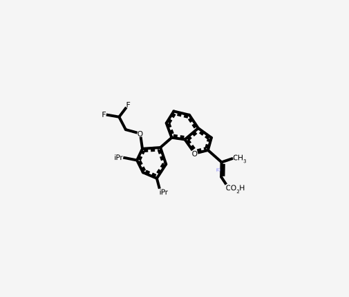 C/C(=C\C(=O)O)c1cc2cccc(-c3cc(C(C)C)cc(C(C)C)c3OCC(F)F)c2o1